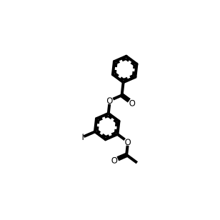 CC(=O)Oc1cc(I)cc(OC(=O)c2ccccc2)c1